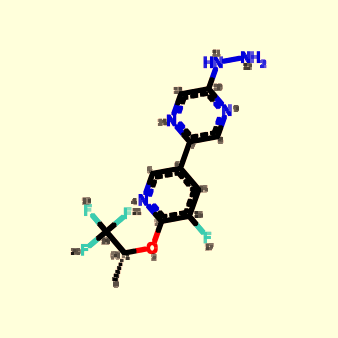 C[C@@H](Oc1ncc(-c2cnc(NN)cn2)cc1F)C(F)(F)F